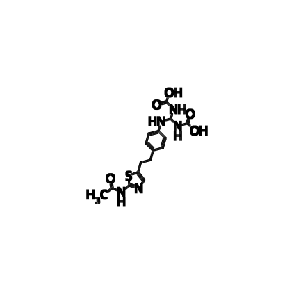 CC(=O)Nc1ncc(CCc2ccc(NC(NC(=O)O)NC(=O)O)cc2)s1